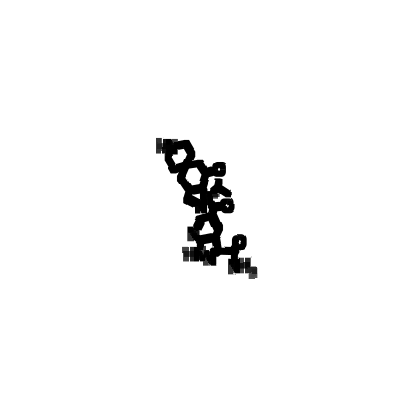 CC(C)[N+]1(C(=O)c2cnc3[nH]nc(C(N)=O)c3c2)N=CC2=C1C(=O)CC1(CCNCC1)C2